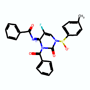 Cc1ccc([S+]([O-])n2cc(F)/c(=N\C(=O)c3ccccc3)n(C(=O)c3ccccc3)c2=O)cc1